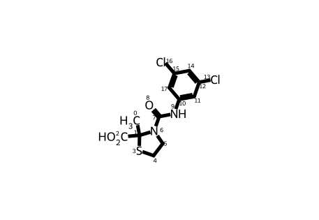 CC1(C(=O)O)SCCN1C(=O)Nc1cc(Cl)cc(Cl)c1